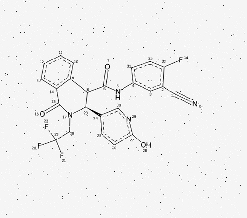 N#Cc1cc(NC(=O)C2c3ccccc3C(=O)N(CC(F)(F)F)[C@@H]2c2ccc(O)nc2)ccc1F